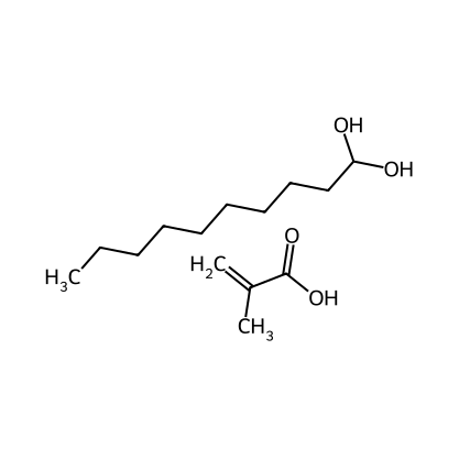 C=C(C)C(=O)O.CCCCCCCCCC(O)O